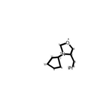 CC(C)CC1COCN1C1CCCC1